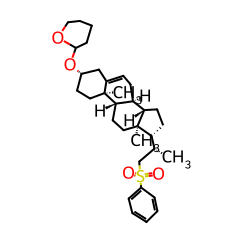 C[C@H](CS(=O)(=O)c1ccccc1)[C@H]1CC[C@H]2[C@@H]3CC=C4C[C@@H](OC5CCCCO5)CC[C@]4(C)[C@H]3CC[C@]12C